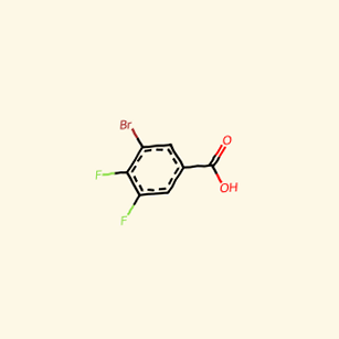 O=C(O)c1cc(F)c(F)c(Br)c1